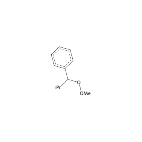 COOC(c1ccccc1)C(C)C